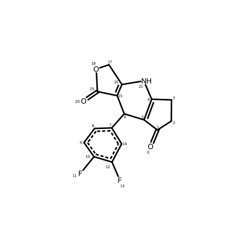 O=C1CCC2=C1C(c1ccc(F)c(F)c1)C1=C(COC1=O)N2